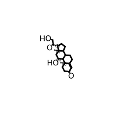 C[C@]12CCC(=O)C=C1CCC1C2[C@@H](O)C[C@@]2(C)C1CC[C@@H]2C(=O)CO